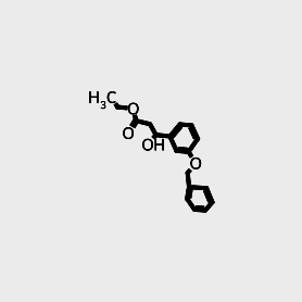 CCOC(=O)CC(O)c1cccc(OCc2ccccc2)c1